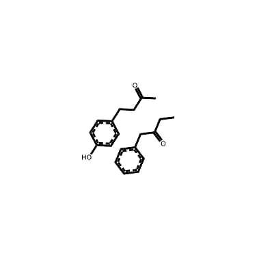 CC(=O)CCc1ccc(O)cc1.CCC(=O)Cc1ccccc1